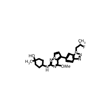 COc1nc(NC2CCC(C)(O)CC2)nn2ccc(-c3ccc4nnn(C[C@H](C)F)c4c3)c12